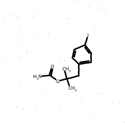 CC(C)(Cc1ccc(I)cc1)OC(N)=O